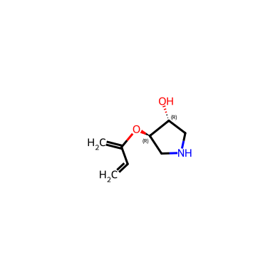 C=CC(=C)O[C@@H]1CNC[C@H]1O